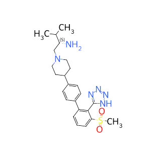 CC(C)[C@H](N)CN1CCC(c2ccc(-c3cccc(S(C)(=O)=O)c3-c3nnn[nH]3)cc2)CC1